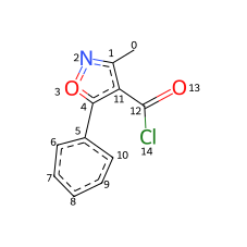 Cc1noc(-c2ccccc2)c1C(=O)Cl